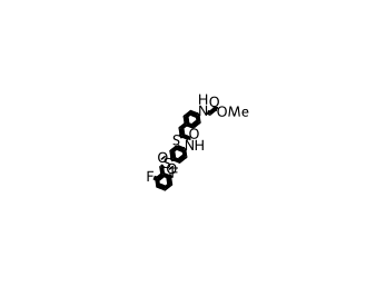 COC(=O)CNc1ccc(/C=C2/Sc3cc(S(=O)(=O)Cc4c(F)cccc4F)ccc3NC2=O)cc1